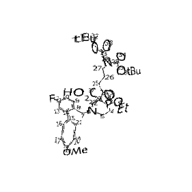 CCOP1(=O)CCN(Cc2ccc(F)cc2-c2ccc(OC)cc2)CC1(CCCCN(C(=O)OC(C)(C)C)C(=O)OC(C)(C)C)C(=O)O